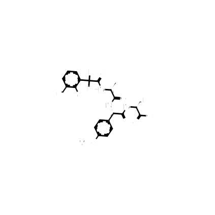 COc1ccc([C@H](NC(=O)[C@H](C)NC(=O)C(F)(F)c2cccc(Cl)c2Cl)C(=O)N[C@H](C(=O)C(F)(F)F)C(C)C)cc1